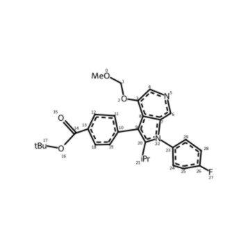 COCOc1cncc2c1c(-c1ccc(C(=O)OC(C)(C)C)cc1)c(C(C)C)n2-c1ccc(F)cc1